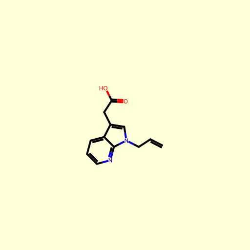 C=CCn1cc(CC(=O)O)c2cccnc21